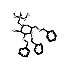 CCOP(=O)(C[C@H]1OC(COCc2ccccc2)[C@@H](OCc2ccccc2)[C@@H](OCc2ccccc2)C1O)OCC